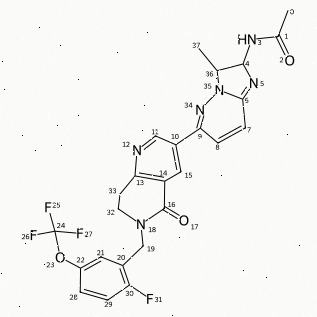 CC(=O)NC1N=C2C=CC(c3cnc4c(c3)C(=O)N(Cc3cc(OC(F)(F)F)ccc3F)CC4)=NN2C1C